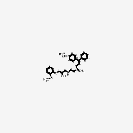 COc1ccccc1OCC(O)CNCCN(C)CCC(c1ccccc1)c1ccccc1.Cl.Cl